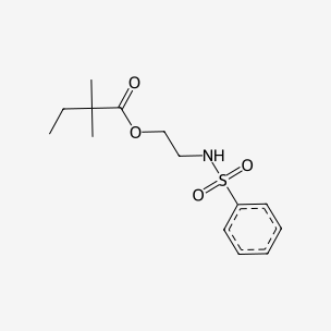 CCC(C)(C)C(=O)OCCNS(=O)(=O)c1ccccc1